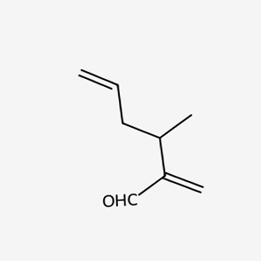 C=CCC(C)C(=C)C=O